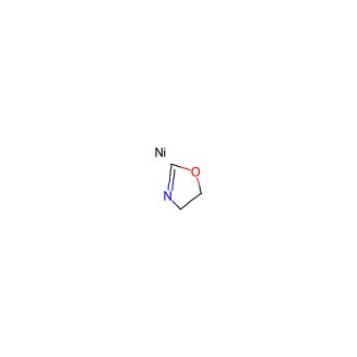 C1=NCCO1.[Ni]